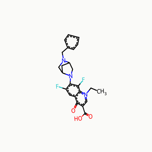 CCn1cc(C(=O)O)c(=O)c2cc(F)c(N3CC4CC3CN4Cc3ccccc3)c(F)c21